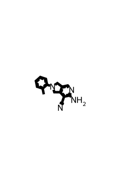 Cc1ccccc1N1Cc2cnc(N)c(C#N)c2C1